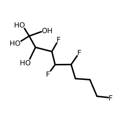 OC(C(F)C(F)C(F)CCCF)C(O)(O)O